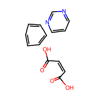 O=C(O)/C=C\C(=O)O.c1ccccc1.c1cncnc1